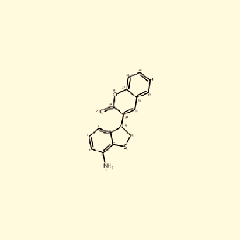 Nc1cccc2c1SCN2c1cc2ccccc2oc1=O